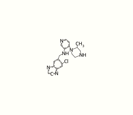 CC1CNCCN1c1ccncc1NCc1cc2nccnc2cc1Cl